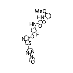 COc1ccccc1NC(=O)CC(=O)Nc1ccc(Oc2ccnc3cc(-c4cnc(N5CCOCC5)nc4)sc23)c(F)c1